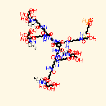 CC(=O)NC1C(OCCCCC(=O)NCCCC[C@H](NC(=O)CCCCOC2OC(CO)C(O)C(O)C2NC(C)=O)C(=O)NCCNC(=O)c2cc(OCCNC(=O)CCCCCNC(=O)C(CC(=O)O)SCCCCCCO[PH2]=O)cc(C(=O)NCCNC(=O)[C@H](CCCCNC(=O)CCCCOC3OC(CO)C(O)C(O)C3NC(C)=O)NC(=O)CCCCOC3OC(CO)C(O)C(O)C3NC(C)=O)c2)OC(CO)C(O)C1O